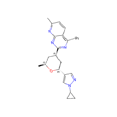 Cc1ccc2c(C(C)C)nc([C@@H]3C[C@H](C)O[C@@H](c4cnn(C5CC5)c4)C3)nc2n1